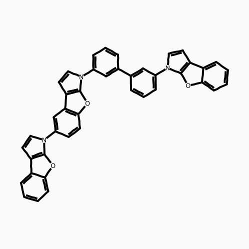 c1cc(-c2cccc(-n3ccc4c5cc(-n6ccc7c8ccccc8oc76)ccc5oc43)c2)cc(-n2ccc3c4ccccc4oc32)c1